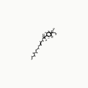 CCCCCCCCCCCC[Si](C)(C)c1ccc([SiH](C)C)cc1